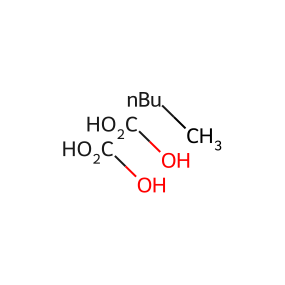 CCCCC.O=C(O)O.O=C(O)O